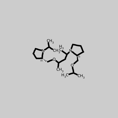 CC(C)OC[C@@H]1CCCN1C(C)CC(C)OC[C@@H]1CCCN1C(C)C